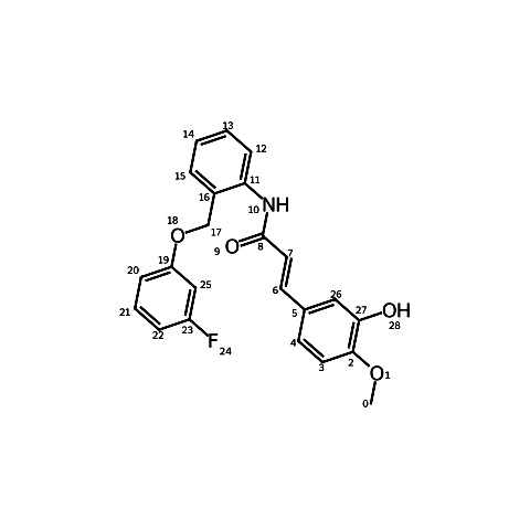 COc1ccc(C=CC(=O)Nc2ccccc2COc2cccc(F)c2)cc1O